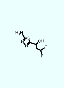 Nc1nnc(C(O)CC(F)F)s1